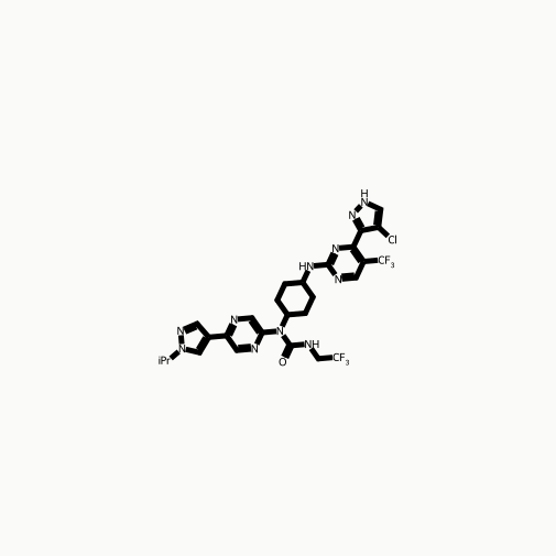 CC(C)n1cc(-c2cnc(N(C(=O)NCC(F)(F)F)C3CCC(Nc4ncc(C(F)(F)F)c(-c5n[nH]cc5Cl)n4)CC3)cn2)cn1